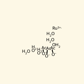 CC(=O)[O-].CC(=O)[O-].CC(=O)[O-].O.O.O.O.O.O.[Ru+3]